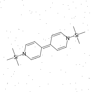 C[Si](C)(C)N1C=CC(=C2C=CN([Si](C)(C)C)C=C2)C=C1